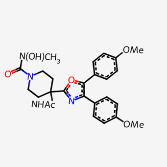 COc1ccc(-c2nc(C3(NC(C)=O)CCN(C(=O)N(C)O)CC3)oc2-c2ccc(OC)cc2)cc1